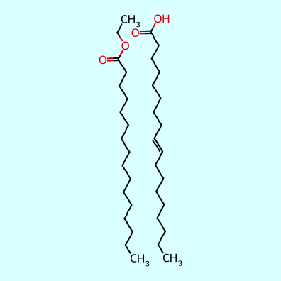 CCCCCCCCC=CCCCCCCCC(=O)O.CCCCCCCCCCCCCCCC(=O)OCC